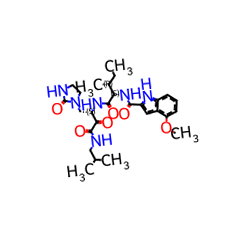 CC[C@@H](C)[C@H](NC(=O)c1cc2c(OC)cccc2[nH]1)C(=O)N[C@@H](CN1CCNC1=O)C(=O)C(=O)NCC(C)C